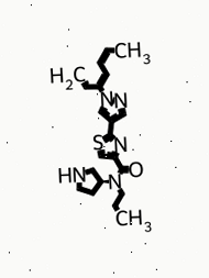 C=C/C(=C\C=C/C)n1cc(-c2nc(C(=O)N(CCC)[C@H]3CCNC3)cs2)cn1